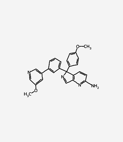 COc1ccc(C2(c3cccc(-c4cncc(OC)c4)c3)N=Cc3nc(N)ccc32)cc1